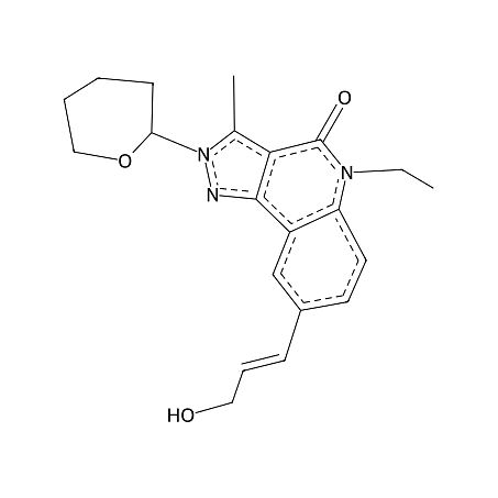 CCn1c(=O)c2c(C)n(C3CCCCO3)nc2c2cc(C=CCO)ccc21